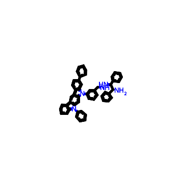 N[C@H](c1ccccc1)C(NNCc1cccc(-n2c3cc(-c4ccccc4)ccc3c3cc4c5ccccc5n(-c5ccccc5)c4cc32)c1)c1ccccc1